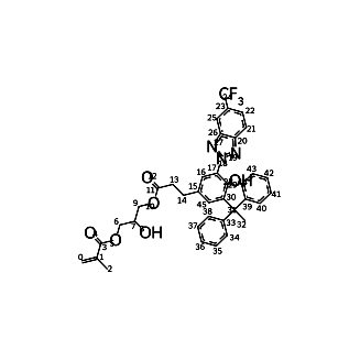 C=C(C)C(=O)OCC(O)COC(=O)CCc1cc(-n2nc3ccc(C(F)(F)F)cc3n2)c(O)c(C(C)(c2ccccc2)c2ccccc2)c1